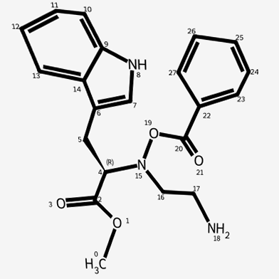 COC(=O)[C@@H](Cc1c[nH]c2ccccc12)N(CCN)OC(=O)c1ccccc1